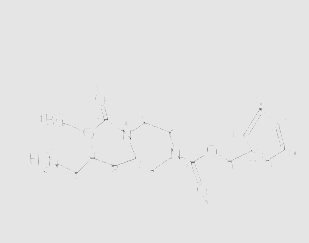 CC(C)(C)OC(=O)N1CCN(C(=O)OCc2ccccc2)CC1CCCN